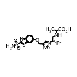 CC(NC[C@H](C(C)C)n1cc(COc2ccc3nc(S(N)(=O)=O)sc3c2)nn1)C(=O)O